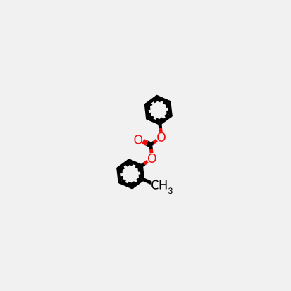 Cc1ccccc1OC(=O)Oc1ccccc1